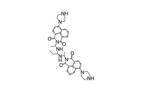 CCC(NC(C)N1C(=O)c2cccc3c(N4CCNCC4)ccc(c23)C1=O)NC(C)N1C(=O)c2cccc3c(N4CCNCC4)ccc(c23)C1=O